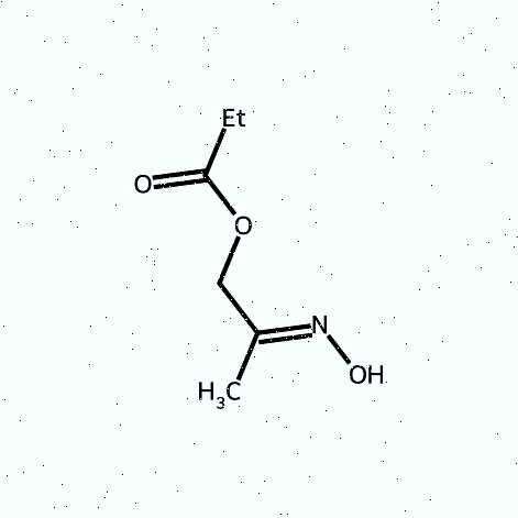 CCC(=O)OCC(C)=NO